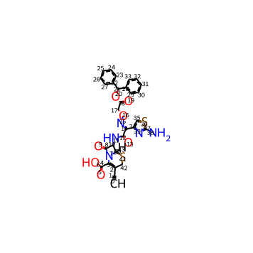 C#CC1=C(C(=O)O)N2C(=O)C(NC(=O)C(=NOCC(=O)OC(c3ccccc3)c3ccccc3)c3csc(N)n3)[C@@H]2SC1